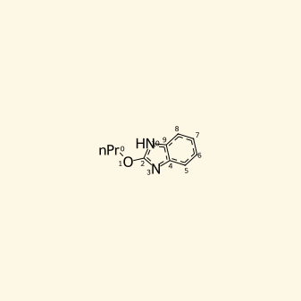 CCCOc1nc2ccccc2[nH]1